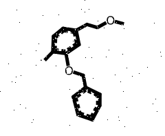 [CH2]c1ccc(CCOC)cc1OCc1ccccc1